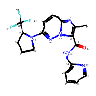 Cc1nc2ccc(N3CCC[C@H]3C(F)(F)F)nn2c1C(=O)Nc1ccccn1